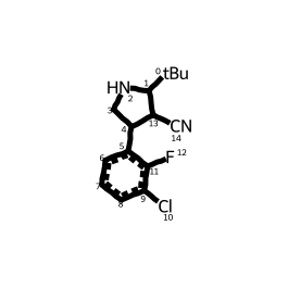 CC(C)(C)C1NCC(c2cccc(Cl)c2F)C1C#N